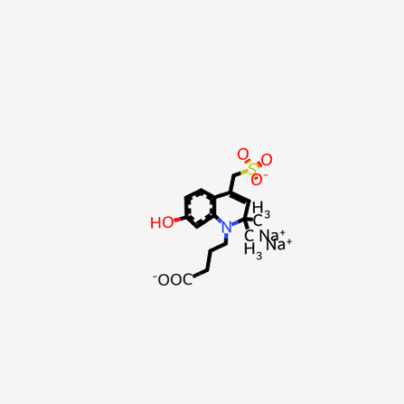 CC1(C)C=C(CS(=O)(=O)[O-])c2ccc(O)cc2N1CCCC(=O)[O-].[Na+].[Na+]